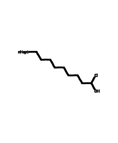 CCCCCCCCCCCCCCCC(O)Cl